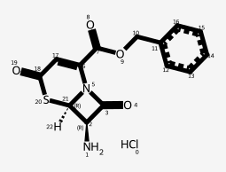 Cl.N[C@@H]1C(=O)N2C(C(=O)OCc3ccccc3)=CC(=O)S[C@H]12